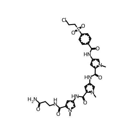 Cn1cc(NC(=O)c2cc(NC(=O)c3cc(NC(=O)c4ccc(S(=O)(=O)CCCl)cc4)cn3C)cn2C)cc1C(=O)NCCC(N)=O